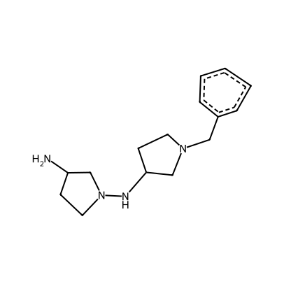 NC1CCN(NC2CCN(Cc3ccccc3)C2)C1